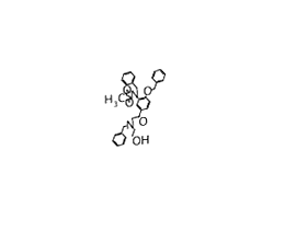 CS(=O)(=O)N(Cc1ccccc1)c1cc(C(=O)CN(CCO)Cc2ccccc2)ccc1OCc1ccccc1